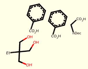 CCC(CO)(CO)CO.CCCCCCCCCCCC(=O)O.O=C(O)c1ccccc1.O=C(O)c1ccccc1